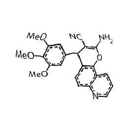 COc1cc(C2C(C#N)=C(N)Oc3c2ccc2ncccc32)cc(OC)c1OC